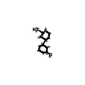 Cc1nccc(-c2cccc(Cl)c2)n1